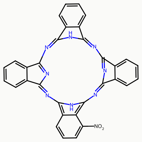 O=[N+]([O-])c1cccc2c3nc4nc(nc5[nH]c(nc6nc(nc([nH]3)c12)-c1ccccc1-6)c1ccccc51)-c1ccccc1-4